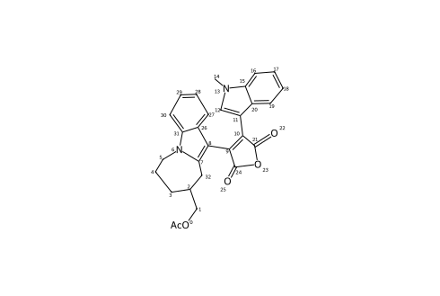 CC(=O)OCC1CCCn2c(c(C3=C(c4cn(C)c5ccccc45)C(=O)OC3=O)c3ccccc32)C1